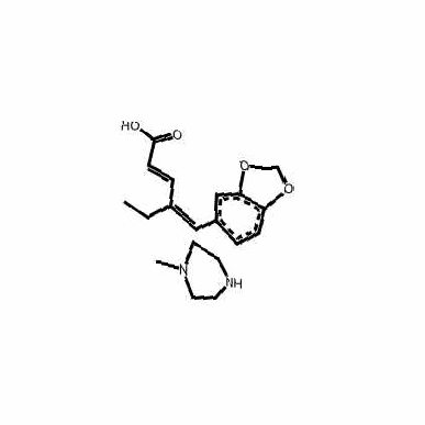 CCC(C=CC(=O)O)=Cc1ccc2c(c1)OCO2.CN1CCNCC1